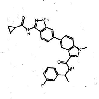 CC(NC(=O)c1cn(C)c2ccc(-c3ccc4c(NC(=O)C5CC5)n[nH]c4c3)cc12)c1cccc(F)c1